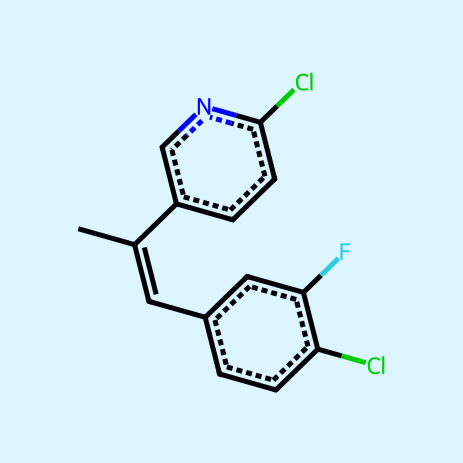 CC(=Cc1ccc(Cl)c(F)c1)c1ccc(Cl)nc1